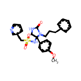 COc1ccc(C2(NS(=O)(=O)Cc3cccnc3)CNC(=O)N2CCCc2ccccc2)cc1